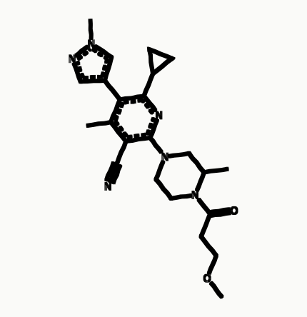 COCCC(=O)N1CCN(c2nc(C3CC3)c(-c3cnn(C)c3)c(C)c2C#N)CC1C